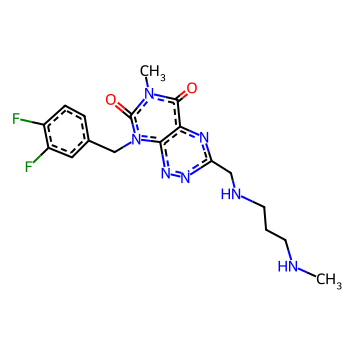 CNCCCNCc1nnc2c(n1)c(=O)n(C)c(=O)n2Cc1ccc(F)c(F)c1